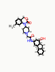 Cc1ccc2c(c1)N(C1CCN(CC(=O)Nc3cc(O)c4c(c3)-c3ccccc3C4)CC1)C(=O)OC2